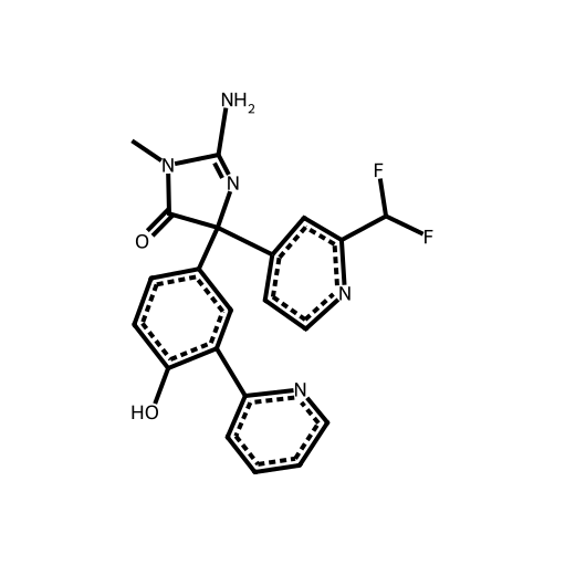 CN1C(=O)C(c2ccnc(C(F)F)c2)(c2ccc(O)c(-c3ccccn3)c2)N=C1N